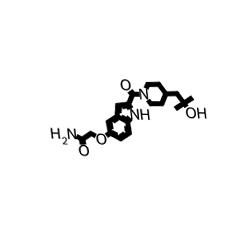 CC(C)(O)CC1CCN(C(=O)c2cc3cc(OCC(N)=O)ccc3[nH]2)CC1